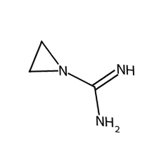 N=C(N)N1CC1